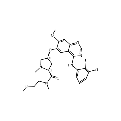 COCCN(C)C(=O)[C@@H]1C[C@H](Oc2cc3c(Nc4cccc(Cl)c4F)ncnc3cc2OC)CN1C